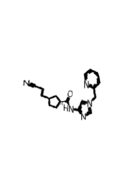 N#CCCC1CC[C@H](C(=O)Nc2cn(Cc3ccccn3)cn2)C1